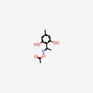 CC(=O)O/N=C(\C)c1c(O)cc(C)cc1O